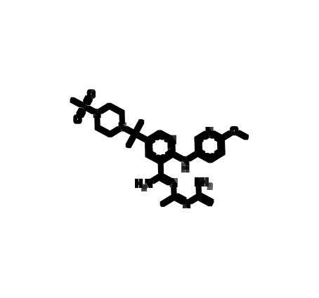 C=C(N)/N=C(C)\N=C(/N)c1cc(C(C)(C)N2CCN(S(C)(=O)=O)CC2)cnc1Nc1ccc(OC)nc1